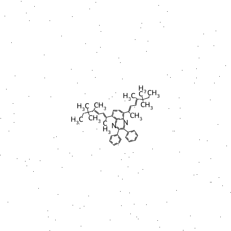 CCC(C)(C)/C(C)=C/C=C(\C)c1ccc(/C(C)=C/C=C(\C)C(C)(C)CC)c2nc(-c3ccccc3)c(-c3ccccc3)nc12